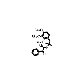 COc1ccc(CC(C)(C)N=C(Cl)C(=O)c2ccccc2)c(OC)c1OC